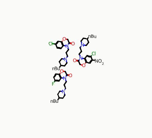 CCCCC1CCN(CCCN2C(=O)COc3cc(Cl)ccc32)CC1.CCCCC1CCN(CCCN2C(=O)COc3cc([N+](=O)[O-])c(Cl)cc32)CC1.CCCCC1CCN(CCCN2C(=O)COc3ccc(F)cc32)CC1